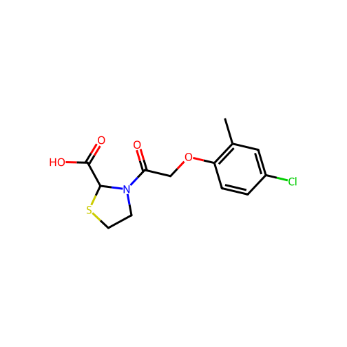 Cc1cc(Cl)ccc1OCC(=O)N1CCSC1C(=O)O